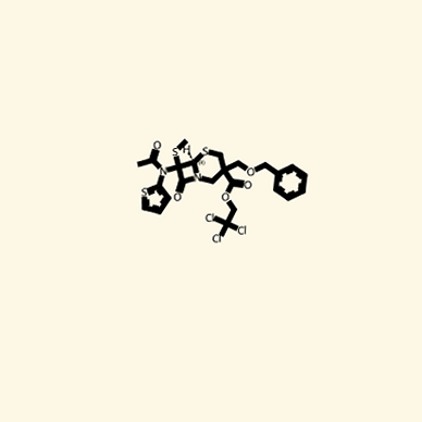 CSC1(N(C(C)=O)c2cccs2)C(=O)N2CC(COCc3ccccc3)(C(=O)OCC(Cl)(Cl)Cl)CS[C@@H]21